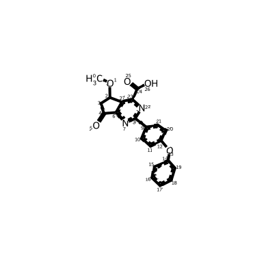 COC1CC(=O)c2nc(-c3ccc(Oc4ccccc4)cc3)nc(C(=O)O)c21